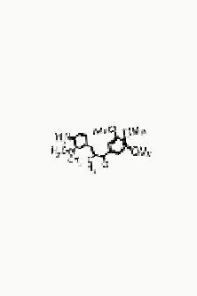 COc1cc(C(=O)C(C)=Cc2ccc(N)c(N(C)C)c2)cc(OC)c1OC